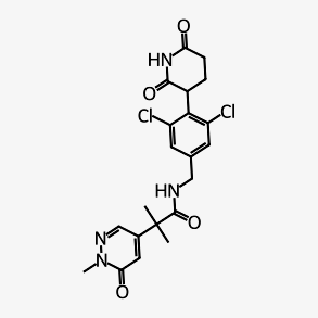 Cn1ncc(C(C)(C)C(=O)NCc2cc(Cl)c(C3CCC(=O)NC3=O)c(Cl)c2)cc1=O